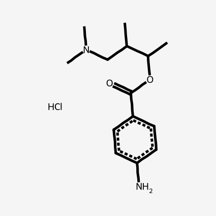 CC(CN(C)C)C(C)OC(=O)c1ccc(N)cc1.Cl